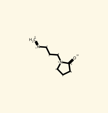 C=NCCCN1CCCC1=O